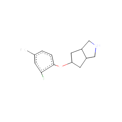 Fc1cc(C(F)(F)F)ccc1OC1CC2CNCC2C1